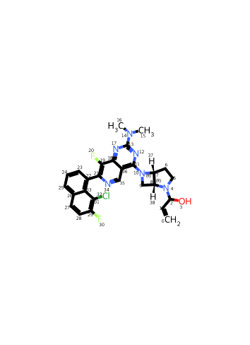 C=CC(O)N1CC[C@@H]2[C@H]1CN2c1nc(N(C)C)nc2c(F)c(-c3cccc4ccc(F)c(Cl)c34)ncc12